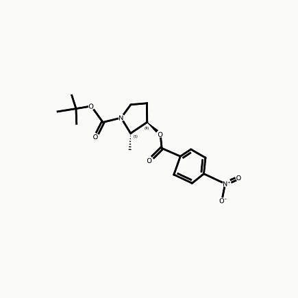 C[C@H]1[C@H](OC(=O)c2ccc([N+](=O)[O-])cc2)CCN1C(=O)OC(C)(C)C